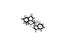 [Li][CH2][C]([Li])(C1C=Cc2ccccc21)C1C=Cc2ccccc21